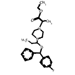 CCOC(=O)C(C)N1CCN(C(CC)OC(c2ccccc2)c2ccc(F)cc2)CC1